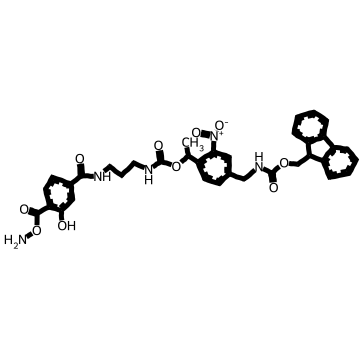 CC(OC(=O)NCCCNC(=O)c1ccc(C(=O)ON)c(O)c1)c1ccc(CNC(=O)OCC2c3ccccc3-c3ccccc32)cc1[N+](=O)[O-]